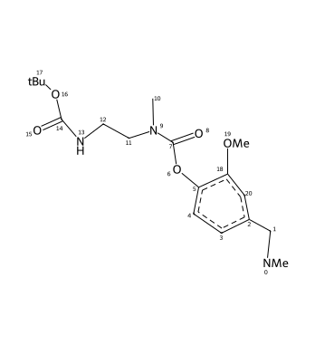 CNCc1ccc(OC(=O)N(C)CCNC(=O)OC(C)(C)C)c(OC)c1